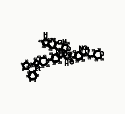 CCc1ccccc1[C@@H]1CCCN1C1CC2(CCN(c3ccc(C(=O)NS(=O)(=O)c4ccc(NCC5CCOCC5)c([N+](=O)[O-])c4)c(N4c5cc6cc[nH]c6nc5O[C@H]5COC[C@H]54)c3)CC2)C1